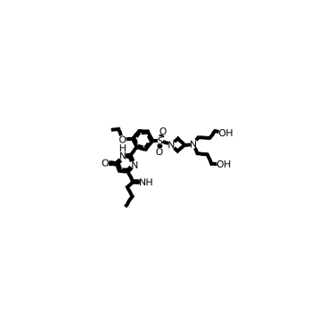 CCCC(=N)c1cc(=O)[nH]c(-c2cc(S(=O)(=O)N3CC(N(CCCO)CCCO)C3)ccc2OCC)n1